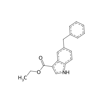 CCOC(=O)c1c[nH]c2ccc(Cc3ccccc3)cc12